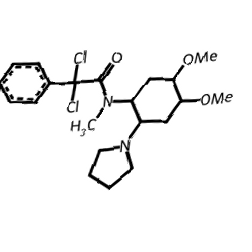 COC1CC(N2CCCC2)C(N(C)C(=O)C(Cl)(Cl)c2ccccc2)CC1OC